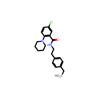 O=C(O)Cc1ccc(CCNC(=O)c2cc(Cl)ccc2N2CCCCC2)cc1